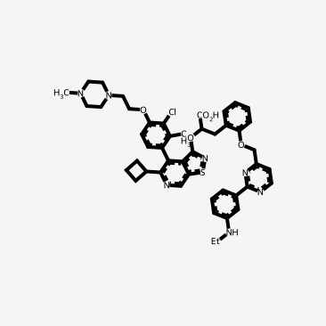 CCNc1cccc(-c2nccc(COc3ccccc3CC(Oc3nsc4cnc(C5CCC5)c(-c5ccc(OCCN6CCN(C)CC6)c(Cl)c5C)c34)C(=O)O)n2)c1